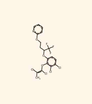 CC(Cl)=C(Cl)Oc1c(OC(CCOc2ccccn2)C(F)(F)F)ccc(Cl)c1Cl